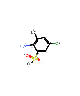 Cc1cc(Cl)cc(S(C)(=O)=O)c1N